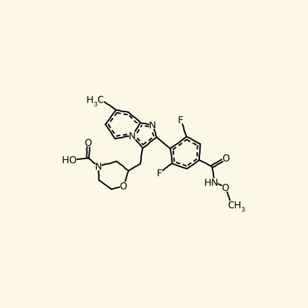 CONC(=O)c1cc(F)c(-c2nc3cc(C)ccn3c2CC2CN(C(=O)O)CCO2)c(F)c1